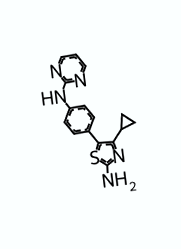 Nc1nc(C2CC2)c(-c2ccc(Nc3ncccn3)cc2)s1